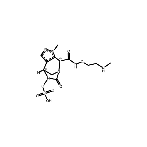 CNCCONC(=O)[C@@H]1c2c(cnn2C)[C@@H]2CN1C(=O)N2OS(=O)(=O)O